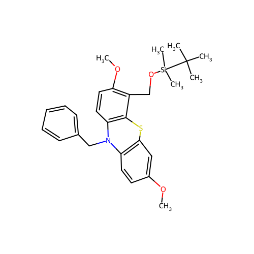 COc1ccc2c(c1)Sc1c(ccc(OC)c1CO[Si](C)(C)C(C)(C)C)N2Cc1ccccc1